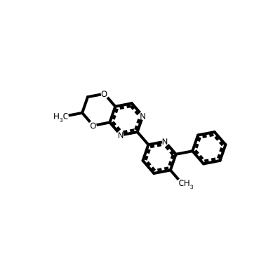 Cc1ccc(-c2ncc3c(n2)OC(C)CO3)nc1-c1ccccc1